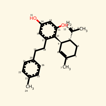 C=C(C)[C@@H]1CCC(C)=C[C@H]1c1c(O)cc(O)cc1CCc1ccc(C)cc1